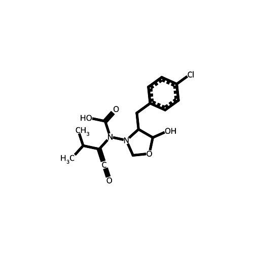 CC(C)C(=C=O)N(C(=O)O)N1COC(O)C1Cc1ccc(Cl)cc1